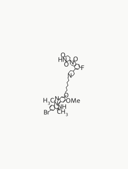 COc1cc2c(N[C@H](C)c3cccc(Br)c3)nc(C)nc2cc1OCCCCCCCN1CCC(c2cc(F)cc3c2CN(C2CCC(=O)NC2=O)C3=O)CC1